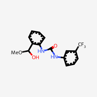 COC(O)c1ccccc1NC(=O)Nc1cccc(C(F)(F)F)c1